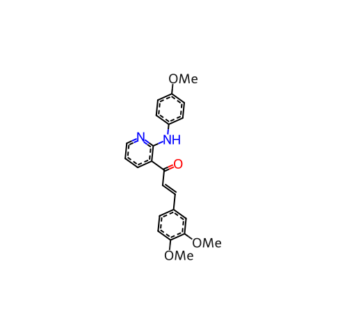 COc1ccc(Nc2ncccc2C(=O)/C=C/c2ccc(OC)c(OC)c2)cc1